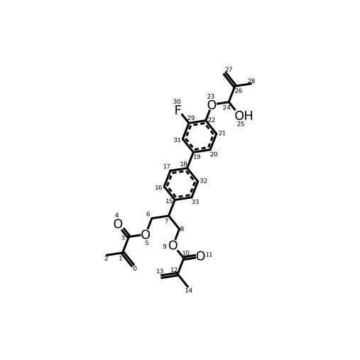 C=C(C)C(=O)OCC(COC(=O)C(=C)C)c1ccc(-c2ccc(OC(O)C(=C)C)c(F)c2)cc1